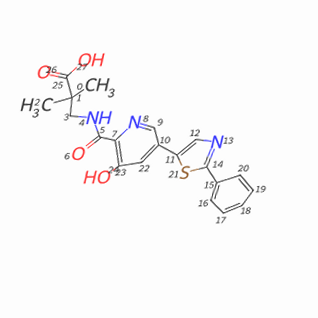 CC(C)(CNC(=O)c1ncc(-c2cnc(-c3ccccc3)s2)cc1O)C(=O)O